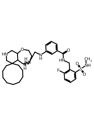 CNS(=O)(=O)c1cccc(F)c1CNC(=O)c1cccc(NCC2NNC3C4C(CNCC45CCCCCCCCC5)OCCN23)c1